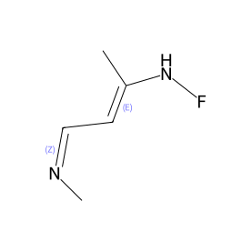 C/N=C\C=C(/C)NF